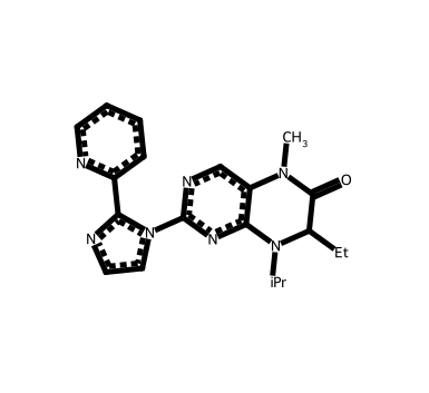 CCC1C(=O)N(C)c2cnc(-n3ccnc3-c3ccccn3)nc2N1C(C)C